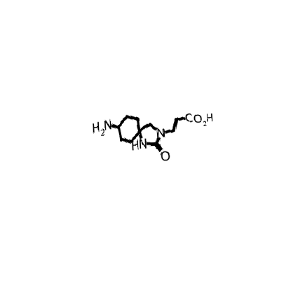 NC1CCC2(CC1)CN(CCC(=O)O)C(=O)N2